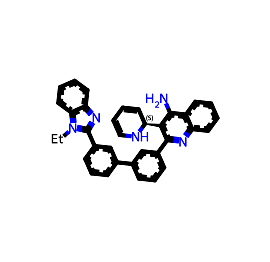 CCn1c(-c2cccc(-c3cccc(-c4nc5ccccc5c(N)c4[C@@H]4C=CC=CN4)c3)c2)nc2ccccc21